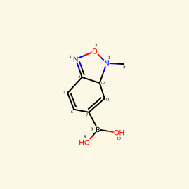 CN1ON=C2C=CC(B(O)O)=CC21